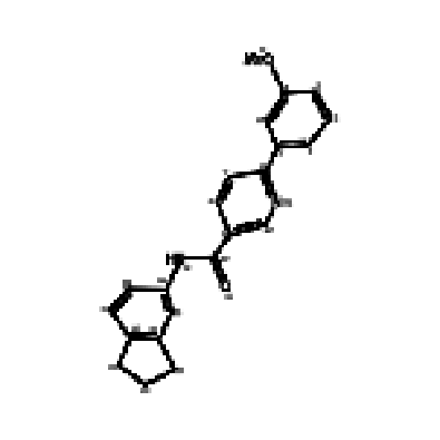 COc1cccc(-c2ccc(C(=O)Nc3ccc4c(c3)CCC4)cn2)c1